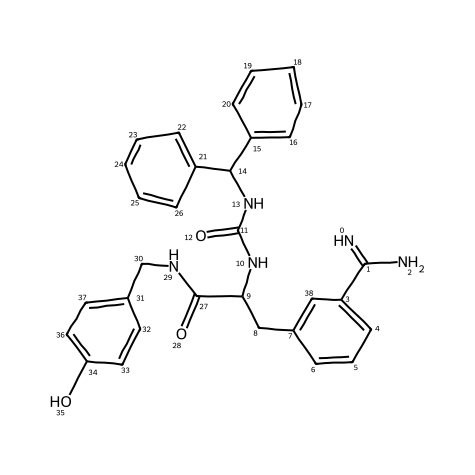 N=C(N)c1cccc(CC(NC(=O)NC(c2ccccc2)c2ccccc2)C(=O)NCc2ccc(O)cc2)c1